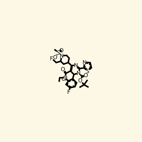 CCOC(=O)C1=C(C2CCN(S(C)(=O)=O)C(CF)C2)N=C(c2nccs2)N(C(=O)OC(C)(C)C)C1c1ccc(F)cc1Cl